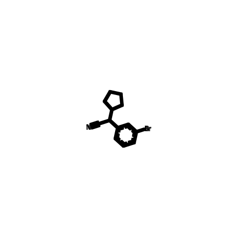 N#CC(c1cccc(Br)c1)C1CCCC1